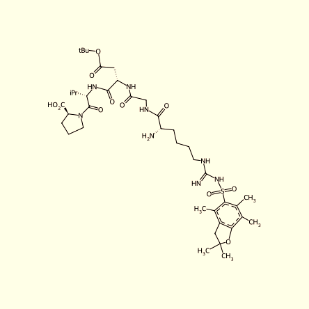 Cc1c(C)c(S(=O)(=O)NC(=N)NCCCC[C@H](N)C(=O)NCC(=O)N[C@@H](CC(=O)OC(C)(C)C)C(=O)N[C@H](C(=O)N2CCC[C@H]2C(=O)O)C(C)C)c(C)c2c1OC(C)(C)C2